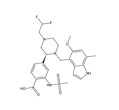 COc1cc(C)c2[nH]ccc2c1CN1CCN(CC(F)F)C[C@@H]1c1ccc(C(=O)O)c(NS(C)(=O)=O)c1